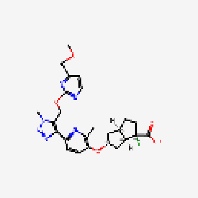 COCc1ccnc(OCc2c(-c3ccc(O[C@H]4C[C@H]5CC[C@](F)(C(=O)O)[C@H]5C4)c(C)n3)nnn2C)n1